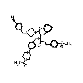 CC(=O)N1CCN(c2ccc(CN(C(=O)C=Cc3ccc(S(C)(=O)=O)cc3)[C@@H](Cc3ccccc3)C(=O)N3CCN(Cc4ccc(C#N)cc4)CC3)cc2)CC1